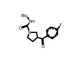 CC(C)(C)NC(=O)N1CCC(C(=O)c2ccc(F)cc2)C1